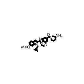 COc1ccc2cc(-c3nc4cc(C(=O)N5CCC[C@@H](N)C5)cc5c4n3CCO5)n(CC3=CC3)c2c1